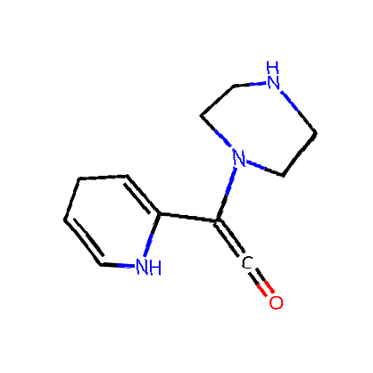 O=C=C(C1=CCC=CN1)N1CCNCC1